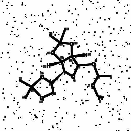 CC(C)OC(C)OC1O[C@H](C2COC(C)(C)O2)[C@@H]2OC(C)(C)O[C@H]12